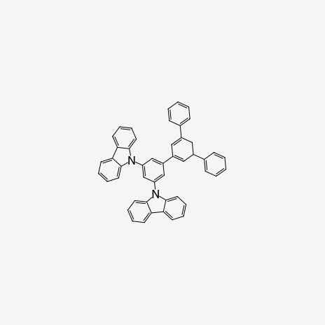 C1=C(c2cc(-n3c4ccccc4c4ccccc43)cc(-n3c4ccccc4c4ccccc43)c2)C=C(c2ccccc2)CC1c1ccccc1